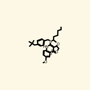 CCCCCC(C)N(Cc1ccc(CC(C)(C)C)cc1)/C(Nc1ccc(OC)cc1OC)=C1\C(=O)COC1=O